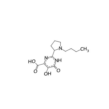 CCCCN1CCCC1c1nc(C(=O)O)c(O)c(=O)[nH]1